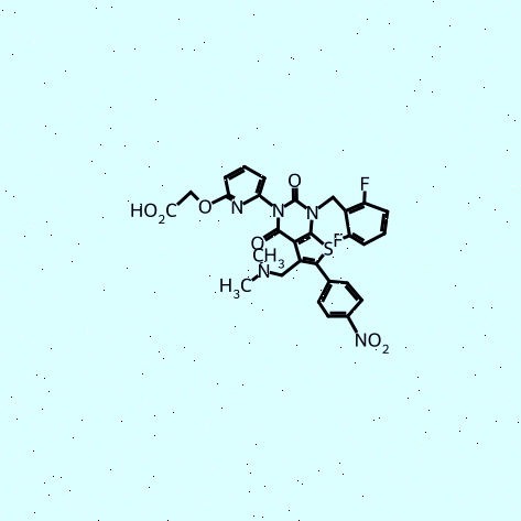 CN(C)Cc1c(-c2ccc([N+](=O)[O-])cc2)sc2c1c(=O)n(-c1cccc(OCC(=O)O)n1)c(=O)n2Cc1c(F)cccc1F